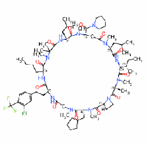 CCCC[C@@H]1NC(=O)[C@H](CCc2ccc(C(F)(F)F)c(Cl)c2)NC(=O)CN(C)C(=O)[C@H](CC2CCCC2)N(C)C(=O)[C@@H]2CCN2C(=O)[C@H](C)N(C)C(=O)[C@H]([C@@H](C)CC)NC(=O)[C@H](CC(C)C)N(C)C(=O)C[C@@H](C(=O)N2CCCCC2)N(C)C(=O)[C@H](CC(C)C)NC(=O)C(C)(C)N(C)C1=O